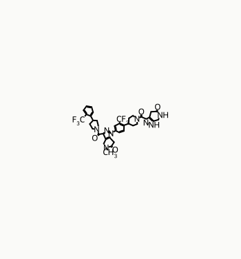 CN1Cc2c(C(=O)N3CCC(c4ccccc4C(F)(F)F)CC3)nn(-c3ccc(C4CCN(C(=O)c5n[nH]c6c5CC(=O)NC6)CC4)c(C(F)(F)F)c3)c2CC1=O